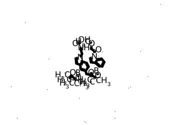 COCC(=O)n1ccc2c(B3OC(C)(C)C(C)(Cc4ccc5c(ccn5CCNC(=O)O)c4B4OC(C)(C)C(C)(C)O4)O3)cccc21